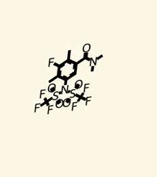 Cc1c(C(=O)N(C)C)cc(N(S(=O)(=O)C(F)(F)F)S(=O)(=O)C(F)(F)F)c(C)c1F